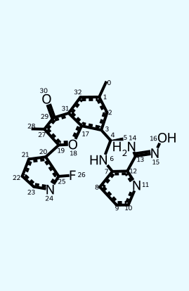 Cc1cc([C@@H](C)Nc2cccnc2/C(N)=N/O)c2oc(-c3cccnc3F)c(C)c(=O)c2c1